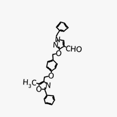 Cc1oc(-c2ccccc2)nc1COc1ccc(COc2nn(Cc3ccccc3)cc2C=O)cc1